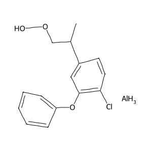 CC(COO)c1ccc(Cl)c(Oc2ccccc2)c1.[AlH3]